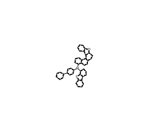 c1ccc(-c2ccc(N(c3cccc4c3ccc3ccc5oc6ccccc6c5c34)c3cccc4c3sc3ccccc34)cc2)cc1